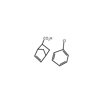 Clc1ccccc1.O=C(O)C1CC2C=CC1C2